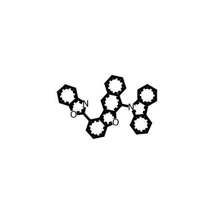 c1ccc2c(-n3c4ccccc4c4ccccc43)c3oc4cccc(-c5nc6ccccc6o5)c4c3cc2c1